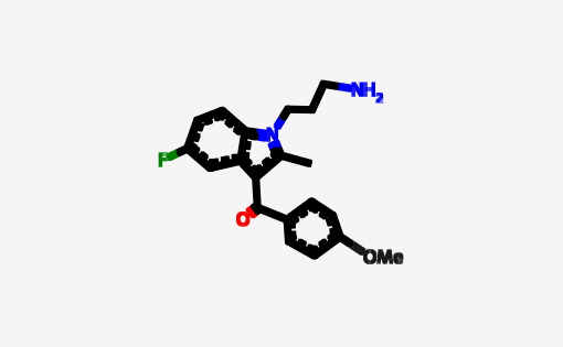 COc1ccc(C(=O)c2c(C)n(CCCN)c3ccc(F)cc23)cc1